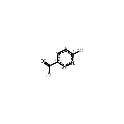 O=C(Cl)c1ccc(Cl)nn1